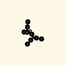 c1ccc(-c2ccc(-c3c4ccccc4cc4c3oc3ccc(N(c5ccc(-c6ccccc6)cc5)c5ccc(-c6ccccc6)cc5)cc34)cc2)cc1